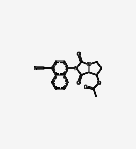 CC(=O)OC1CCN2C(=O)N(c3ccc(C#N)c4ccccc34)C(=O)C12